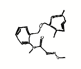 CON=CC(=O)N(C)c1ccccc1COc1cc(C)ccc1C